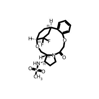 CS(=O)(=O)N[C@H]1CCN2C(=O)COc3ccccc3[C@@H]3CC[C@H](OC[C@@H]12)C(F)(F)C3